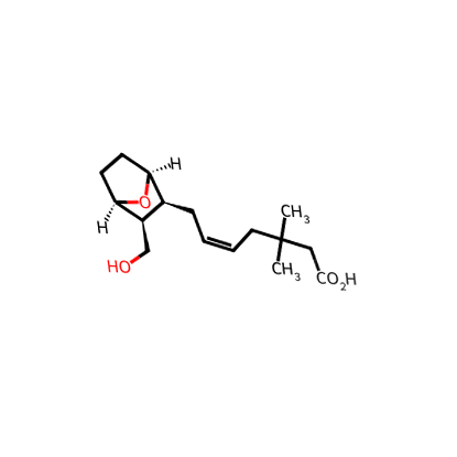 CC(C)(C/C=C\C[C@H]1[C@@H](CO)[C@H]2CC[C@@H]1O2)CC(=O)O